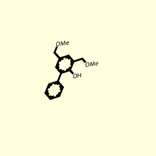 COCc1cc(COC)c(O)c(-c2ccccc2)c1